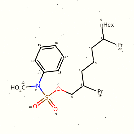 CCCCCCC(CCCC(COS(=O)(=O)N(C(=O)O)c1ccccc1)C(C)C)C(C)C